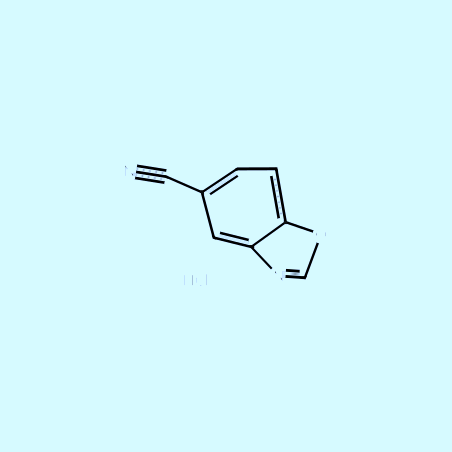 Cl.N#Cc1ccc2ocnc2c1